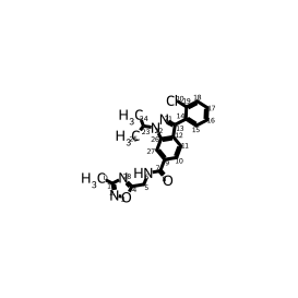 Cc1noc(CNC(=O)c2ccc3c(-c4ccccc4Cl)nn(C(C)C)c3c2)n1